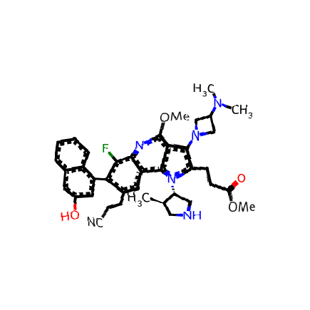 COC(=O)CCc1c(N2CC(N(C)C)C2)c2c(OC)nc3c(F)c(-c4cc(O)cc5ccccc45)c(CCC#N)cc3c2n1[C@@H]1CNC[C@H]1C